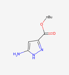 CCCCOC(=O)c1cc(N)[nH]n1